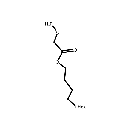 CCCCCCCCCCOC(=O)COP